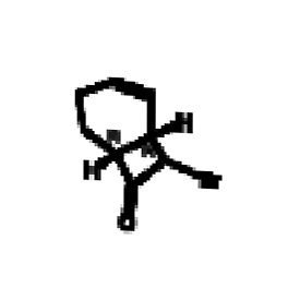 O=C1C(Br)[C@H]2C=CCC[C@@H]12